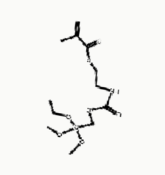 C=C(C)C(=O)OCCNC(=O)OC[Si](OC)(OC)OCC